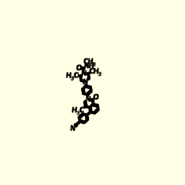 CNC(=O)N1C(C)CN(c2ccc(-n3cc(C)c4c(-c5ccc(C#N)cc5)cccc4c3=O)cc2)CC1C